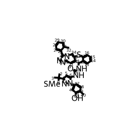 CSC(C)(C)c1cc(NC(=O)NCc2ccccc2Sc2ccc3nnc(-c4ccccc4C)n3c2)n(-c2ccc(C)c(O)c2)n1